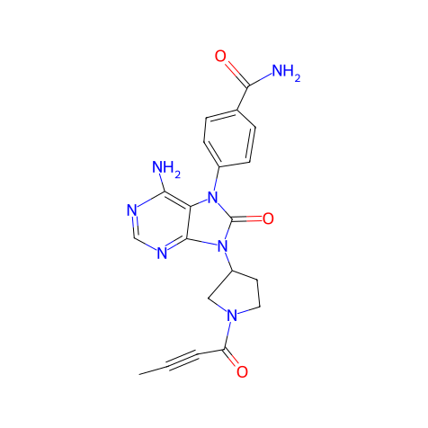 CC#CC(=O)N1CCC(n2c(=O)n(-c3ccc(C(N)=O)cc3)c3c(N)ncnc32)C1